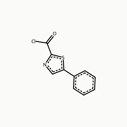 O=C(Cl)c1ncc(-c2ccccc2)s1